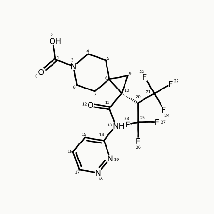 O=C(O)N1CCC2(CC1)C[C@]2(C(=O)Nc1cccnn1)C(C(F)(F)F)C(F)(F)F